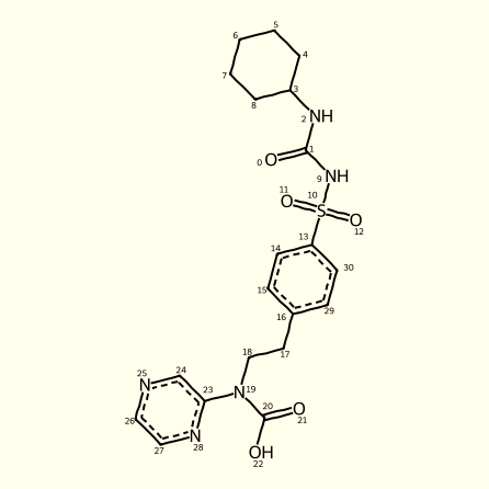 O=C(NC1CCCCC1)NS(=O)(=O)c1ccc(CCN(C(=O)O)c2cnccn2)cc1